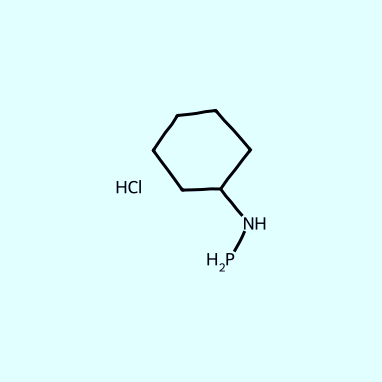 Cl.PNC1CCCCC1